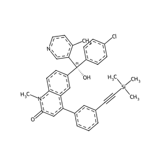 Cc1ccncc1[C@@](O)(c1ccc(Cl)cc1)c1ccc2c(c1)c(-c1cccc(C#C[Si](C)(C)C)c1)cc(=O)n2C